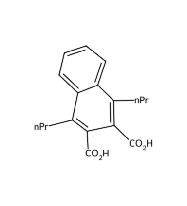 CCCc1c(C(=O)O)c(C(=O)O)c(CCC)c2ccccc12